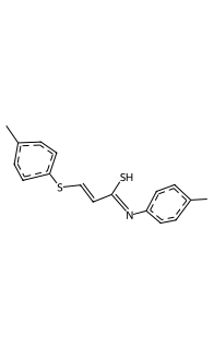 Cc1ccc(N=C(S)C=CSc2ccc(C)cc2)cc1